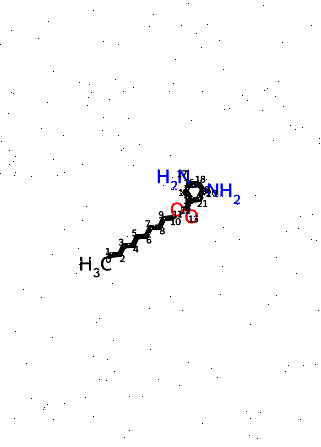 CCCCCCCCCCCOC(=O)c1cc(N)cc(N)c1